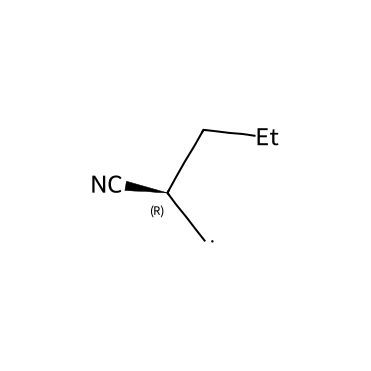 [CH2][C@@H](C#N)CCC